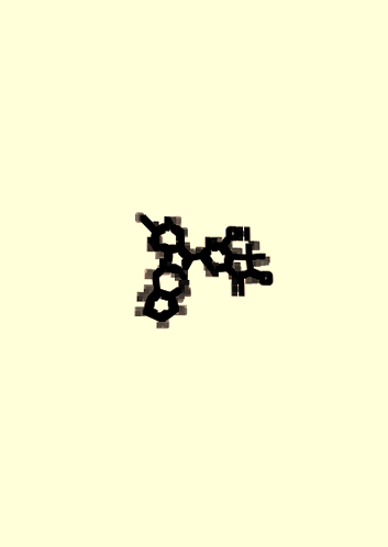 Cc1ncc2c(-c3nc(O)c4c(n3)NC(=O)C4(C)C)nn(Cc3ccccc3F)c2n1